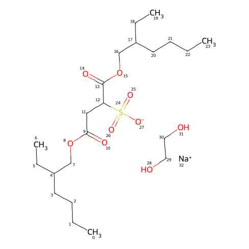 CCCCC(CC)COC(=O)CC(C(=O)OCC(CC)CCCC)S(=O)(=O)[O-].OCCO.[Na+]